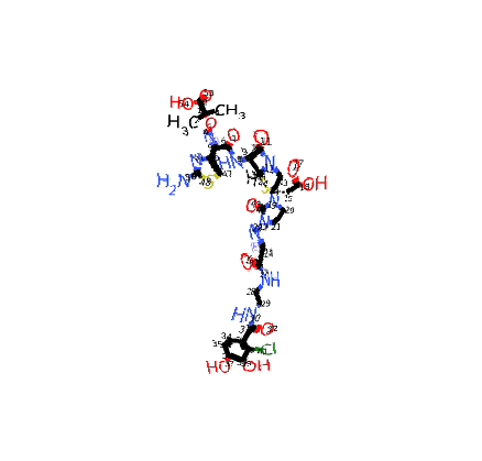 CC(C)(O/N=C(\C(=O)NC1C(=O)N2C[C@@](CC(=O)O)(N3CCN(/N=C/C(=O)NCCNC(=O)c4ccc(O)c(O)c4Cl)C3=O)S[C@H]12)c1csc(N)n1)C(=O)O